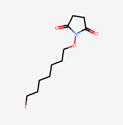 O=C1CCC(=O)N1OCCCCCCCI